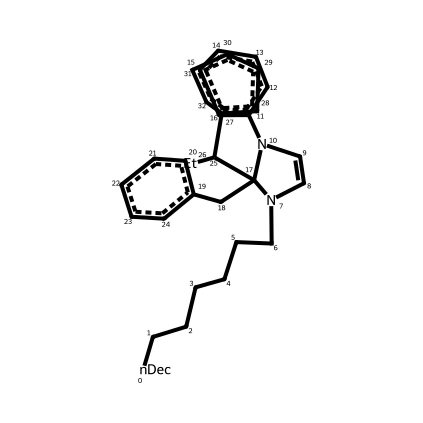 CCCCCCCCCCCCCCCCN1C=CN(c2ccccc2)C1(Cc1ccccc1)C(CC)c1ccccc1